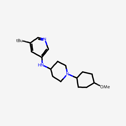 COC1CCC(N2CCC(Nc3cncc(C(C)(C)C)c3)CC2)CC1